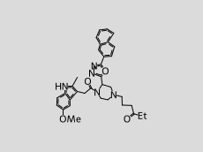 CCC(=O)CCCN1CCN(C(=O)Cc2c(C)[nH]c3ccc(OC)cc23)C(c2nnc(-c3ccc4ccccc4c3)o2)C1